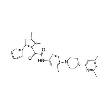 Cc1cc(C)nc(N2CCN(c3ccc(NC(=O)C(=O)c4c(-c5ccccc5)cc(C)n4C)cc3C)CC2)c1